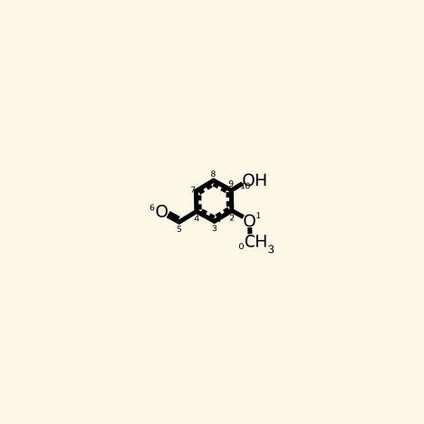 COc1[c]c(C=O)ccc1O